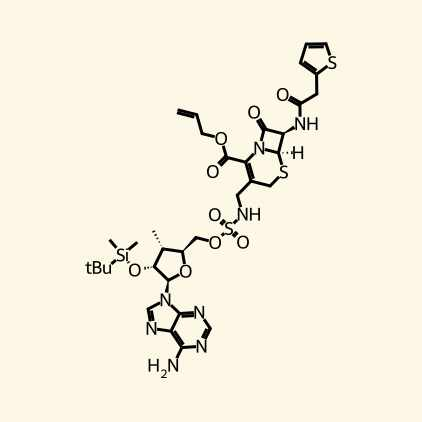 C=CCOC(=O)C1=C(CNS(=O)(=O)OC[C@H]2O[C@@H](n3cnc4c(N)ncnc43)[C@H](O[Si](C)(C)C(C)(C)C)[C@@H]2C)CS[C@@H]2[C@H](NC(=O)Cc3cccs3)C(=O)N12